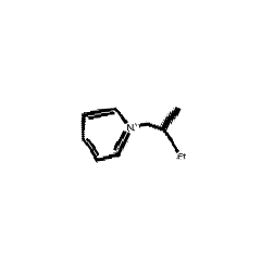 CCC(C)[n+]1ccccc1